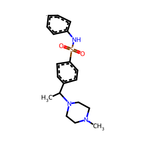 CC(c1ccc(S(=O)(=O)Nc2cc[c]cc2)cc1)N1CCN(C)CC1